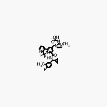 Cc1cc([C@@H](NC(=O)c2cc(Cn3ccn(C)/c3=N/C(=O)O)cc(-c3cccnc3C(F)(F)F)n2)C2CC2)ccc1F